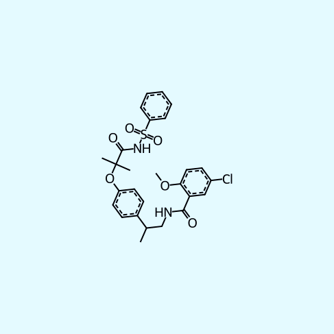 COc1ccc(Cl)cc1C(=O)NCC(C)c1ccc(OC(C)(C)C(=O)NS(=O)(=O)c2ccccc2)cc1